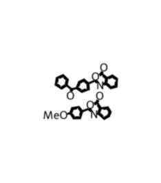 COc1ccc(-c2nc3ccccc3c(=O)o2)cc1.O=C(c1ccccc1)c1ccc(-c2nc3ccccc3c(=O)o2)cc1